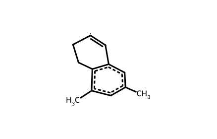 Cc1cc(C)c2c(c1)C=[C]CC2